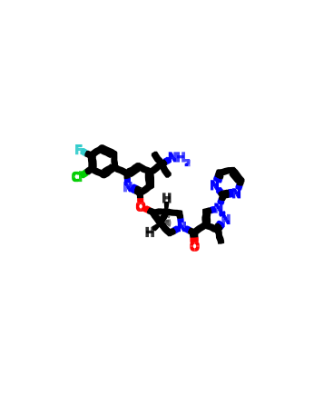 Cc1nn(-c2ncccn2)cc1C(=O)N1C[C@@H]2C(Oc3cc(C(C)(C)N)cc(-c4ccc(F)c(Cl)c4)n3)[C@@H]2C1